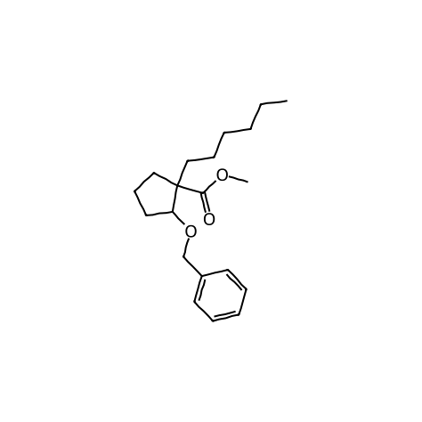 CCCCCCC1(C(=O)OC)CCCC1OCc1ccccc1